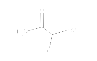 CSC(Cl)C(N)=O